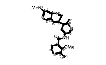 CNc1cc2ncc(-c3cc(NC(=O)c4ccnc(C(C)C)c4OC)cnc3C)cc2cn1